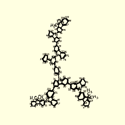 CC1(C)c2ccccc2-c2ccc(-n3c4ccccc4c4cc(-c5ccc6c(c5)c5cc(-c7ccc8c(c7)c7ccccc7n8-c7ccc8c(c7)C(C)(C)c7ccccc7-8)ccc5n6-c5ccc(-c6cc(-n7c8ccccc8c8cc(-c9ccc%10c(c9)c9ccccc9n%10-c9ccc%10c(c9)C(C)(C)c9ccccc9-%10)ccc87)nc(-c7ccccc7)n6)cc5)ccc43)cc21